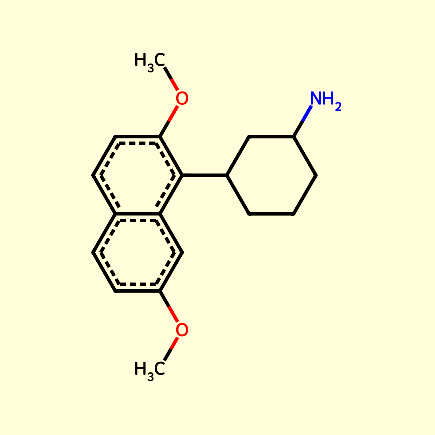 COc1ccc2ccc(OC)c(C3CCCC(N)C3)c2c1